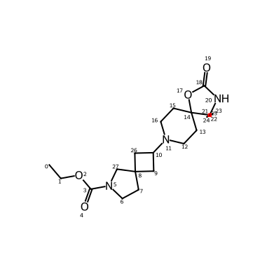 CCOC(=O)N1CCC2(CC(N3CCC4(CC3)OC(=O)NC43CCCC3)C2)C1